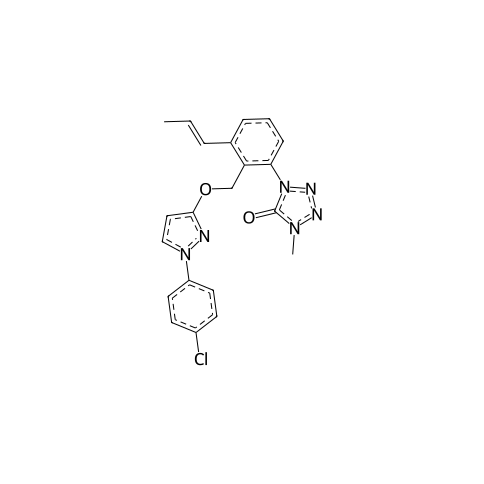 CC=Cc1cccc(-n2nnn(C)c2=O)c1COc1ccn(-c2ccc(Cl)cc2)n1